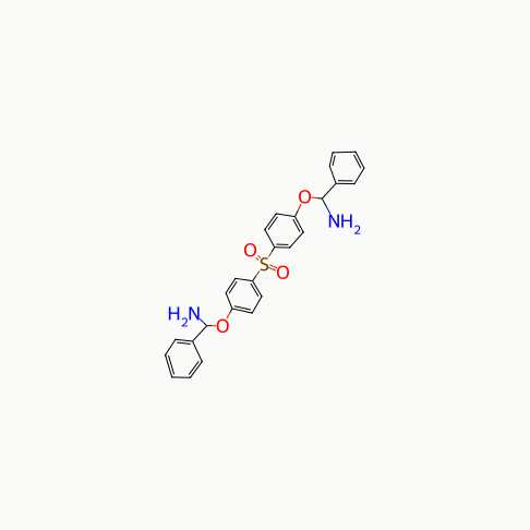 NC(Oc1ccc(S(=O)(=O)c2ccc(OC(N)c3ccccc3)cc2)cc1)c1ccccc1